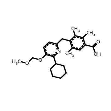 COCOc1ccc(Cc2c(C)cc(C(=O)O)c(C)c2C)nc1C1CCCCC1